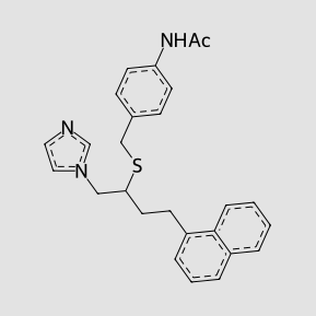 CC(=O)Nc1ccc(CSC(CCc2cccc3ccccc23)Cn2ccnc2)cc1